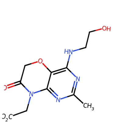 CCOC(=O)CN1C(=O)COc2c(NCCO)nc(C)nc21